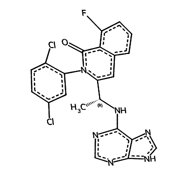 C[C@@H](Nc1ncnc2[nH]cnc12)c1cc2cccc(F)c2c(=O)n1-c1cc(Cl)ccc1Cl